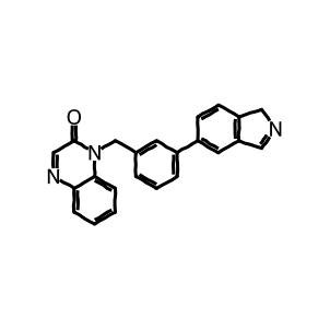 O=c1cnc2ccccc2n1Cc1cccc(-c2ccc3c(c2)C=NC3)c1